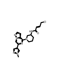 Cn1cc(-c2cn3nccc3c(N3CCCC(NC(=O)C=CCCl)C3)n2)cn1